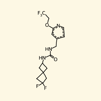 O=C(NCc1ccnc(OCC(F)(F)F)c1)NC1CC2(C1)CC(F)(F)C2